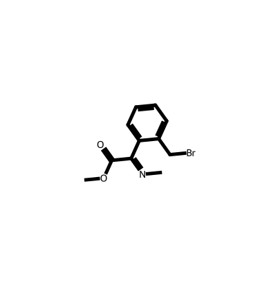 C/N=C(/C(=O)OC)c1ccccc1CBr